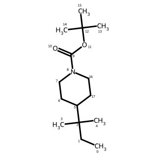 CCC(C)(C)C1CCN(C(=O)OC(C)(C)C)CC1